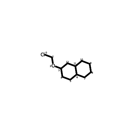 ClCOC1CCC2CCCCC2C1